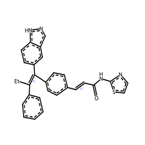 CC/C(=C(/c1ccc(/C=C/C(=O)Nc2nccs2)cc1)c1ccc2[nH]ncc2c1)c1ccccc1